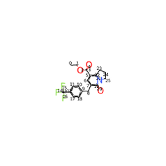 CCOC(=O)c1cc(Cc2ccc(C(F)(F)F)cc2)c(=O)n2c1CCC2